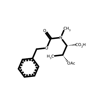 CC(=O)O[C@H](C)[C@@H](C(=O)O)N(C)C(=O)OCc1ccccc1